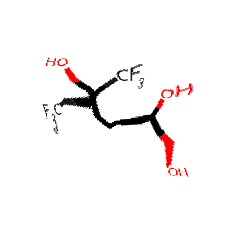 OC(O)CC(O)(C(F)(F)F)C(F)(F)F